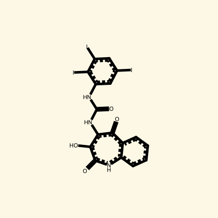 O=C(Nc1cc(I)cc(I)c1I)Nc1c(O)c(=O)[nH]c2ccccc2c1=O